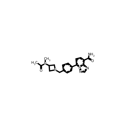 CC(=O)N(C)C1CN(Cc2ccc(-c3ccc(C(N)=O)c4n[c]nn34)cc2)C1